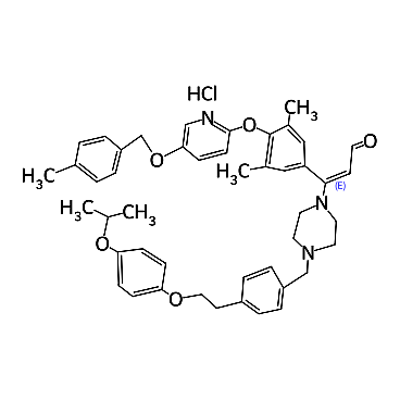 Cc1ccc(COc2ccc(Oc3c(C)cc(/C(=C\C=O)N4CCN(Cc5ccc(CCOc6ccc(OC(C)C)cc6)cc5)CC4)cc3C)nc2)cc1.Cl